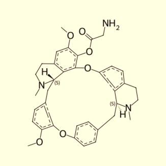 COc1ccc2cc1Oc1ccc(cc1)C[C@H]1c3cc(ccc3CCN1C)Oc1c(OC(=O)CN)c(OC)cc3c1[C@H](C2)N(C)CC3